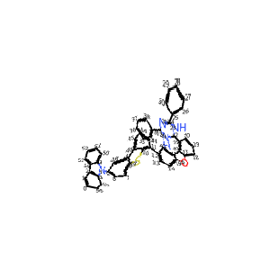 C1=Cc2c(n(-c3ccc4sc5c(-c6ccc7oc8cccc(C9NC(c%10ccccc%10)=NC(c%10ccccc%10)N9)c8c7c6)cccc5c4c3)c3ccccc23)CC1